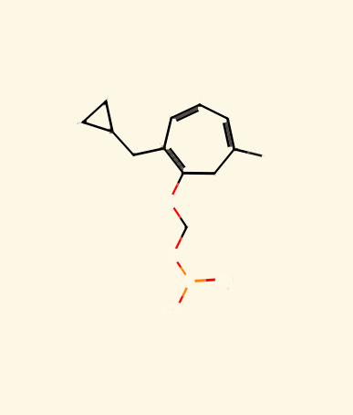 CC(C)C1=CC=CC(CC2CC2)=C(OCOP(O)O)C1